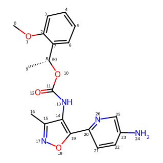 COc1ccccc1[C@@H](C)OC(=O)Nc1c(C)noc1-c1ccc(N)cn1